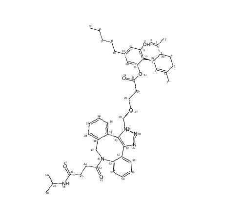 C=C(C)[C@@H]1CCC(C)=C[C@H]1c1c(O)cc(CCCCC)cc1OC(=O)CCOCn1nnc2c1-c1ccccc1CN(C(=O)CCC(=O)NC(C)C)c1ccccc1-2